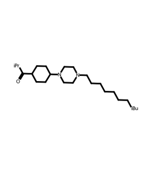 CCC(C)CCCCCCCN1CCN(C2CCC(C(=O)C(C)C)CC2)CC1